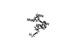 CC#CCN1CCCC(Nc2ncnc3[nH]nc(C#Cc4cc(OC)cc(OC)c4)c23)C1